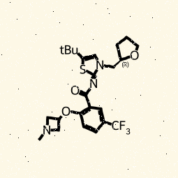 CN1CC(Oc2ccc(C(F)(F)F)cc2C(=O)N=c2sc(C(C)(C)C)cn2C[C@H]2CCCO2)C1